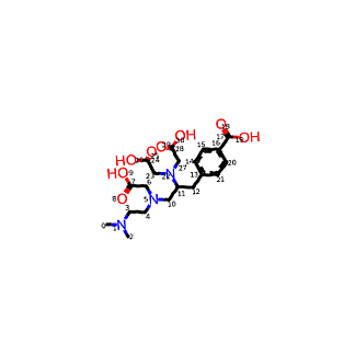 CN(C)CCN(CC(=O)O)CC(Cc1ccc(C(=O)O)cc1)N(CC(=O)O)CC(=O)O